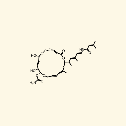 CC(C)=CC(=O)N/C=C/C(C)=C/C(C)[C@H]1C/C(C)=C/C=C/CC[C@H](OC(N)=O)[C@@H](O)/C=C/[C@@H](O)CCC/C=C/C(=O)O1